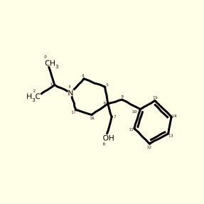 CC(C)N1CCC(CO)(Cc2ccccc2)CC1